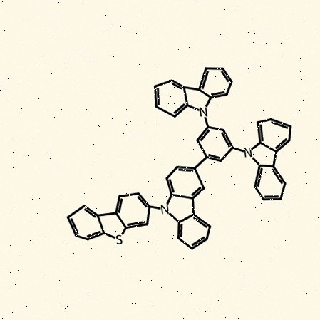 c1ccc2c(c1)sc1cc(-n3c4ccccc4c4cc(-c5cc(-n6c7ccccc7c7ccccc76)cc(-n6c7ccccc7c7ccccc76)c5)ccc43)ccc12